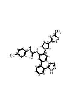 Cc1ccc(NC(=O)Nc2cc(-c3ccccc3-c3nnn[nH]3)ccc2N2CCC(c3nc(C)no3)C2)cn1